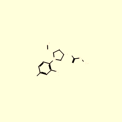 CC(C)(C)NC(=O)O[C@H]1C[C@@H](CO)N(c2ccc(F)cc2[N+](=O)[O-])C1